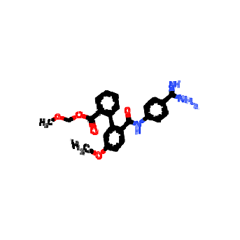 COCOC(=O)c1ccccc1-c1cc(OC)ccc1C(=O)Nc1ccc(C(=N)N)cc1